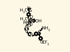 Cc1ncsc1-c1ccc([C@@H](C)NC(=O)[C@H]2C[C@H](O)CN2C(=O)C(NC(=O)CN2CCN(CC3CCN(Cc4ccc5c(c4)c(-c4ccc(OC(F)(F)F)cc4)cn5CCCN)CC3)CC2)C(C)(C)C)cc1